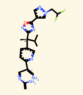 C=C(N)/N=C\C(=C/N)c1ccc([C@](C)(c2noc(-c3cnn(CC(F)F)c3)n2)C(C)C)cn1